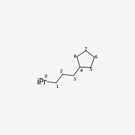 CC(C)CCCC1CCCC1